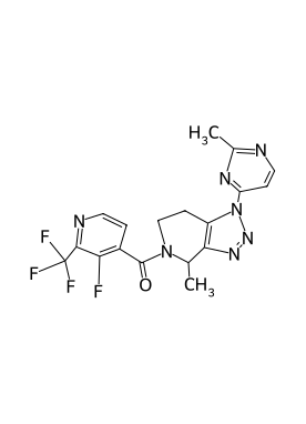 Cc1nccc(-n2nnc3c2CCN(C(=O)c2ccnc(C(F)(F)F)c2F)C3C)n1